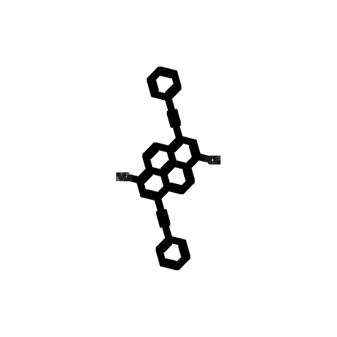 N#Cc1cc(C#Cc2ccccc2)c2ccc3c(C#N)cc(C#Cc4ccccc4)c4ccc1c2c34